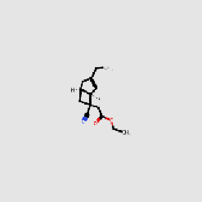 CCOC(=O)C[C@@]1(C#N)C[C@H]2CC(CC)=C[C@H]21